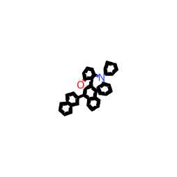 c1ccc(N(c2ccccc2)c2cccc3oc4c(-c5ccc6ccccc6c5)c5ccccc5cc4c23)cc1